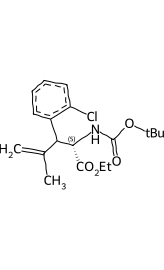 C=C(C)C(c1ccccc1Cl)[C@H](NC(=O)OC(C)(C)C)C(=O)OCC